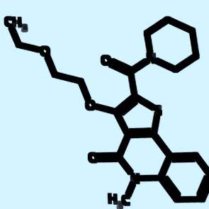 CCOCCOc1c(C(=O)N2CCCCC2)sc2c1c(=O)n(C)c1ccccc21